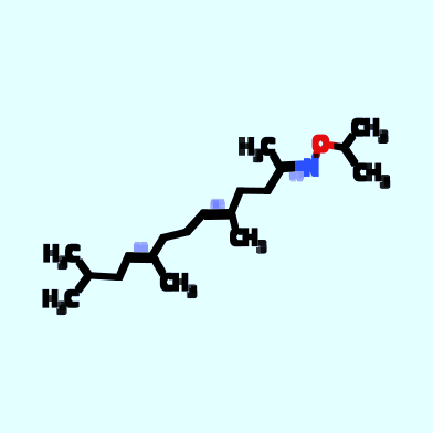 C/C(=C\CC(C)C)CC/C=C(\C)CC/C(C)=N/OC(C)C